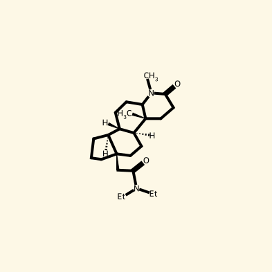 CCN(CC)C(=O)C[C@@]12CCC[C@H]1[C@@H]1CCC3N(C)C(=O)CC[C@]3(C)[C@H]1CC2